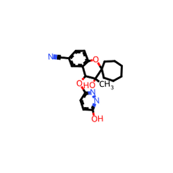 CC1(O)C(Oc2ccc(O)nn2)c2cc(C#N)ccc2OC12CCCCCC2